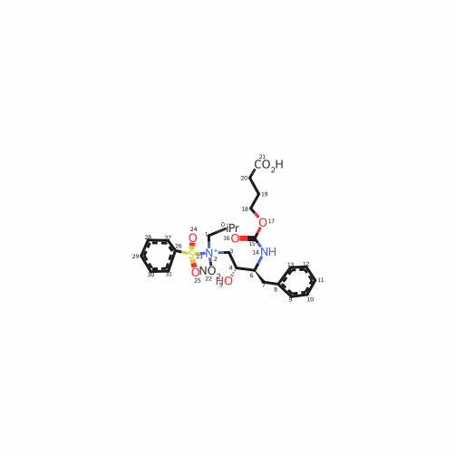 CC(C)C[N+](C[C@@H](O)[C@H](Cc1ccccc1)NC(=O)OCCCC(=O)O)([N+](=O)[O-])S(=O)(=O)c1ccccc1